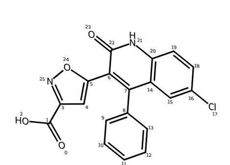 O=C(O)c1cc(-c2c(-c3ccccc3)c3cc(Cl)ccc3[nH]c2=O)on1